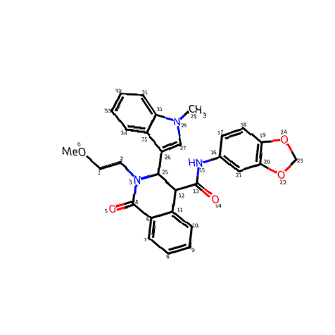 COCCN1C(=O)c2ccccc2C(C(=O)Nc2ccc3c(c2)OCO3)C1c1cn(C)c2ccccc12